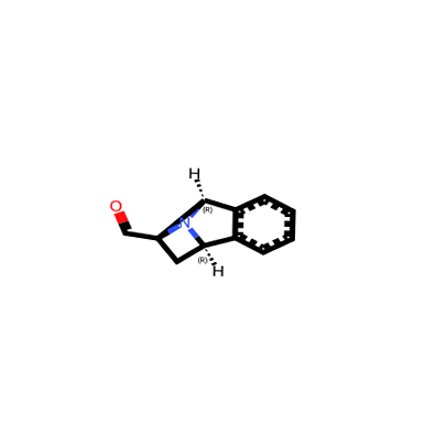 O=CC12C[C@@H]3c4ccccc4[C@H]1N32